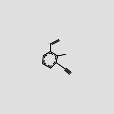 C#Cc1cccc([C]=C)c1C